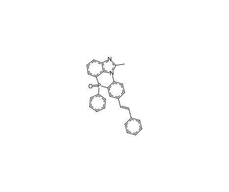 Cc1nc2cccc3c2n1-c1ccc(/C=C/c2ccccc2)cc1P3(=O)c1ccccc1